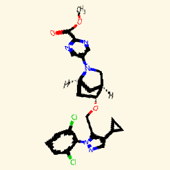 COC(=O)c1ncc(N2C[C@@H]3C[C@H]2C[C@H]3OCc2c(C3CC3)cnn2-c2c(Cl)cccc2Cl)cn1